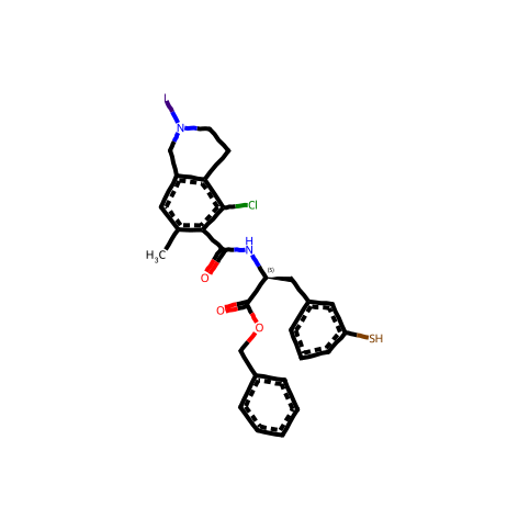 Cc1cc2c(c(Cl)c1C(=O)N[C@@H](Cc1cccc(S)c1)C(=O)OCc1ccccc1)CCN(I)C2